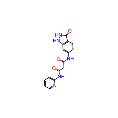 O=C(CC(=O)Nc1ccccn1)Nc1ccc2c(=O)[nH][nH]c2c1